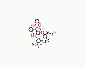 CCC(C)(C)c1ccc(Oc2cc(Nc3ccc(S(=O)(=O)O)c(C)c3)c3c4c(c(C(=O)c5ccccc5)c(=O)[nH]c24)-c2ccccc2C3=O)c(S(=O)(=O)O)c1